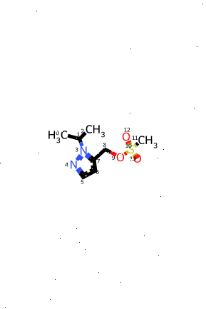 CC(C)n1nccc1COS(C)(=O)=O